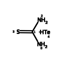 NC(N)=S.[TeH]